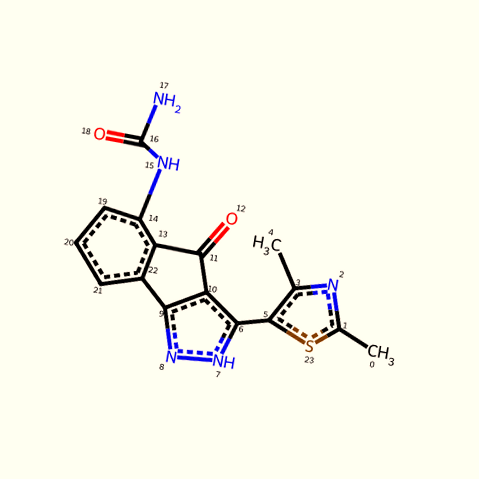 Cc1nc(C)c(-c2[nH]nc3c2C(=O)c2c(NC(N)=O)cccc2-3)s1